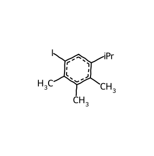 Cc1c(I)cc(C(C)C)c(C)c1C